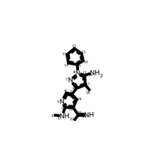 CNc1ncc(-c2nn(-c3ccccc3)c(N)c2C)cc1C(C)=N